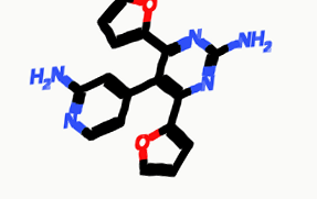 Nc1cc(-c2c(-c3ccco3)nc(N)nc2-c2ccco2)ccn1